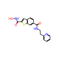 O=C(NCCc1ccccn1)c1ccc2cc(C(=O)NO)sc2c1